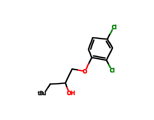 CC(C)(C)CC(O)COc1ccc(Cl)cc1Cl